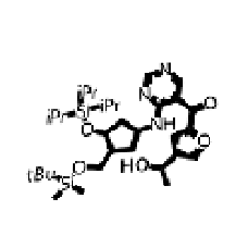 CC(O)c1coc(C(=O)c2cncnc2NC2CC(CO[Si](C)(C)C(C)(C)C)C(O[Si](C(C)C)(C(C)C)C(C)C)C2)c1